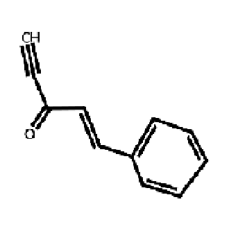 C#CC(=O)/C=C/c1ccccc1